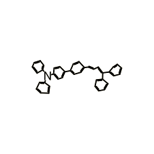 C(=Cc1ccc(-c2ccc(N(c3ccccc3)c3ccccc3)cc2)cc1)C=C(c1ccccc1)c1ccccc1